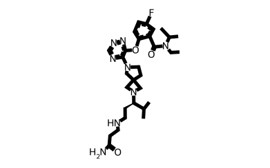 CCN(C(=O)c1cc(F)ccc1Oc1nncnc1N1CCC2(C1)CN([C@H](CCNCCC(N)=O)C(C)C)C2)C(C)C